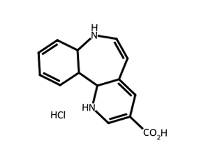 Cl.O=C(O)C1=CNC2C(=C1)C=CNC1C=CC=CC12